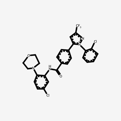 O=C(Nc1cc(Cl)ccc1N1CCOCC1)c1ccc(-c2cc(C(F)(F)F)nn2-c2ccccc2Cl)cc1